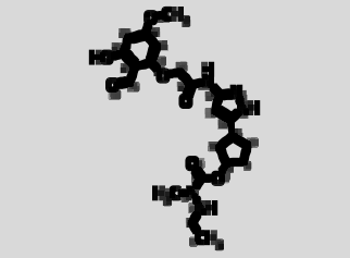 CCNN(C)C(=O)O[C@@H]1CC[C@H](c2cc(NC(=O)COc3cc(OC)cc(O)c3C=O)n[nH]2)C1